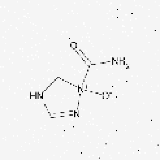 NC(=O)[N+]1([O-])CNC=N1